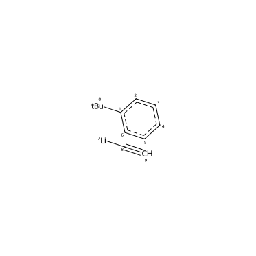 CC(C)(C)c1ccccc1.[Li][C]#C